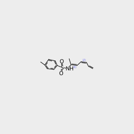 C=C/C=C\C=C(/C)NS(=O)(=O)c1ccc(C)cc1